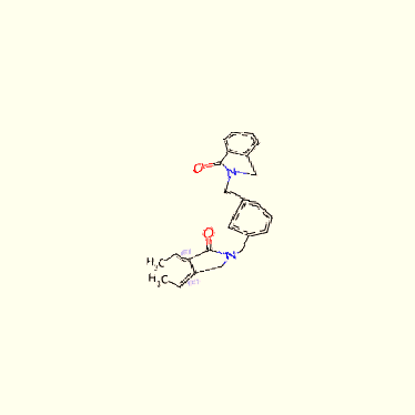 C/C=C1/CN(Cc2cccc(CN3Cc4ccccc4C3=O)c2)C(=O)/C1=C/C